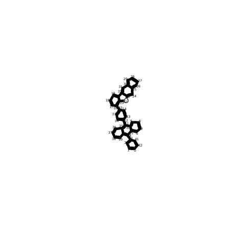 c1ccc(-c2c3ccccc3c(-c3ccc(-c4cccc5c4oc4cc6ccccc6cc45)cc3)c3ccccc23)cc1